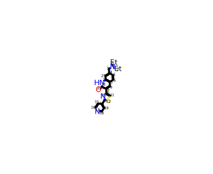 CCN(CC)Cc1ccc2cc(-c3csc(-c4ccncc4)n3)c(=O)[nH]c2c1